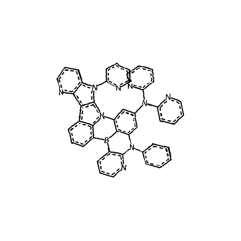 c1ccc(N2c3cc(N(c4ccccn4)c4ccccn4)cc4c3B(c3cccnc32)c2cccc3c5c6ncccc6n(-c6ccccn6)c5n-4c23)cc1